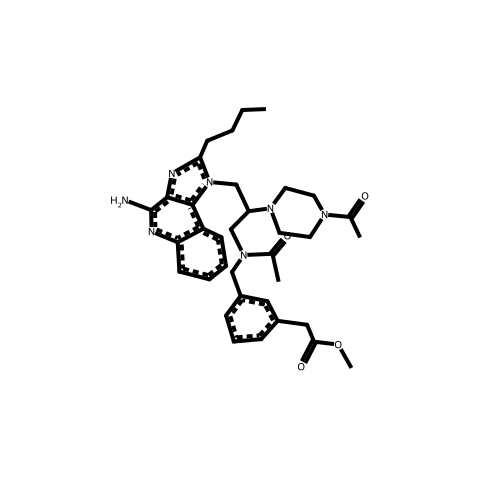 CCCCc1nc2c(N)nc3ccccc3c2n1CC(CN(Cc1cccc(CC(=O)OC)c1)C(C)=O)N1CCN(C(C)=O)CC1